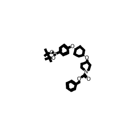 CC1(C)OB(c2ccc(O[C@H]3CC[C@@H](OC4CCN(C(=O)OCc5ccccc5)CC4)CC3)cc2)OC1(C)C